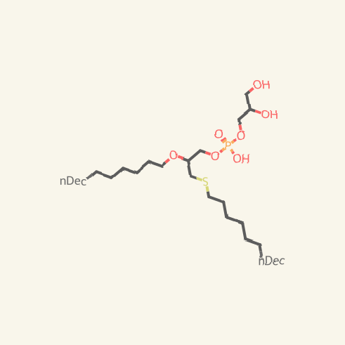 CCCCCCCCCCCCCCCCOC(COP(=O)(O)OCC(O)CO)CSCCCCCCCCCCCCCCCC